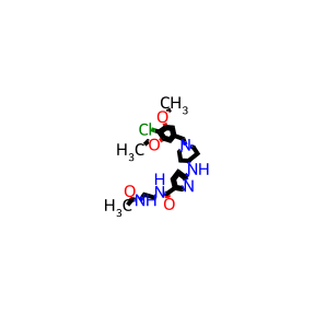 CCOc1cc(CN2CCC(Nc3ccc(C(=O)NCCNC(C)=O)cn3)CC2)cc(OCC)c1Cl